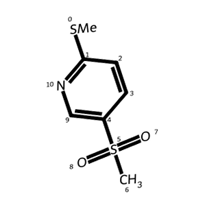 CSc1ccc(S(C)(=O)=O)cn1